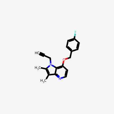 C#CCn1c(C)c(C)c2nccc(OCc3ccc(F)cc3)c21